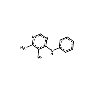 CCCc1c(C)ncnc1Nc1ccccc1